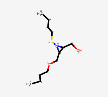 CCCCOCC1C(CO)N1SCCCC